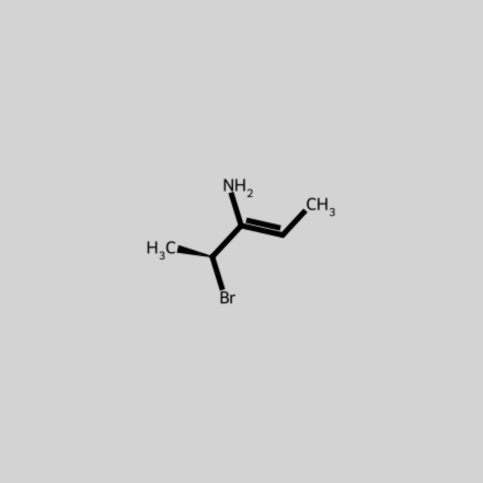 C/C=C(\N)[C@H](C)Br